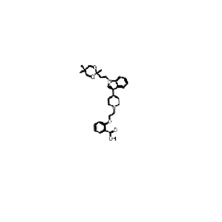 CC1(C)COC(C)(CCn2cc(C3CCN(CCOc4ccccc4C(=O)O)CC3)c3ccccc32)OC1